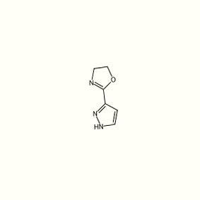 c1cc(C2=NCCO2)n[nH]1